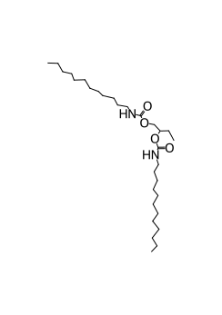 CCCCCCCCCCCCNC(=O)OCC(CC)OC(=O)NCCCCCCCCCCCC